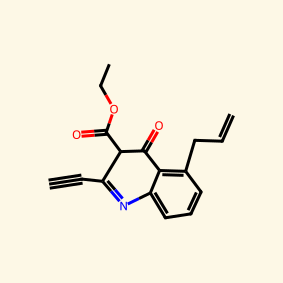 C#CC1=Nc2cccc(CC=C)c2C(=O)C1C(=O)OCC